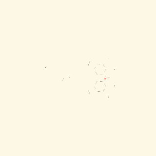 NCCCC(=O)N1CCOC(=O)c2cc(O)c(O)c(O)c2-c2c(cc(O)c(O)c2O)C(=O)OCC1